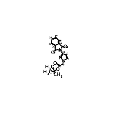 CC(C)(C)OC(=O)Cn1ccc(N2C(=O)c3ccccc3C2=O)n1